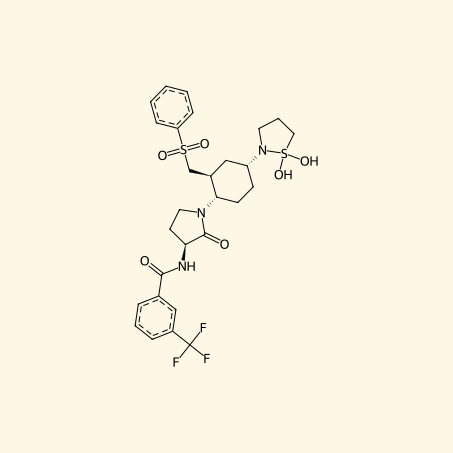 O=C(N[C@H]1CCN([C@H]2CC[C@@H](N3CCCS3(O)O)C[C@@H]2CS(=O)(=O)c2ccccc2)C1=O)c1cccc(C(F)(F)F)c1